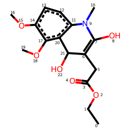 CCOC(=O)CC1=C(O)N(C)c2ccc(OC)c(OC)c2C1O